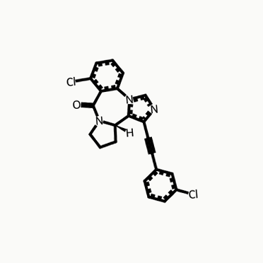 O=C1c2c(Cl)cccc2-n2cnc(C#Cc3cccc(Cl)c3)c2[C@@H]2CCCN12